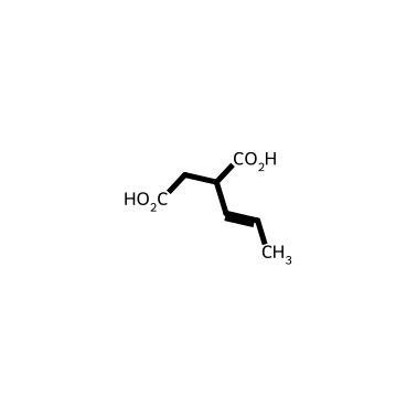 CC=CC(CC(=O)O)C(=O)O